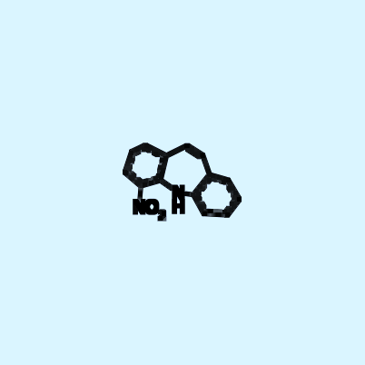 O=[N+]([O-])c1cccc2c1Nc1ccccc1C=C2